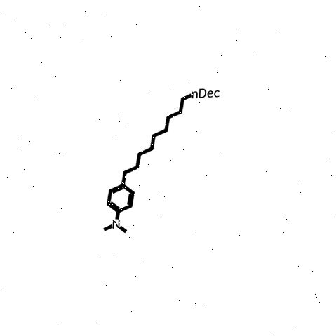 CCCCCCCCCCCCCCCCCCCc1ccc(N(C)C)cc1